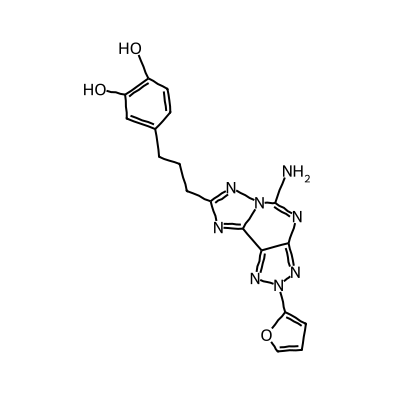 Nc1nc2nn(-c3ccco3)nc2c2nc(CCCc3ccc(O)c(O)c3)nn12